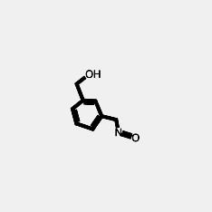 O=NCc1cccc(CO)c1